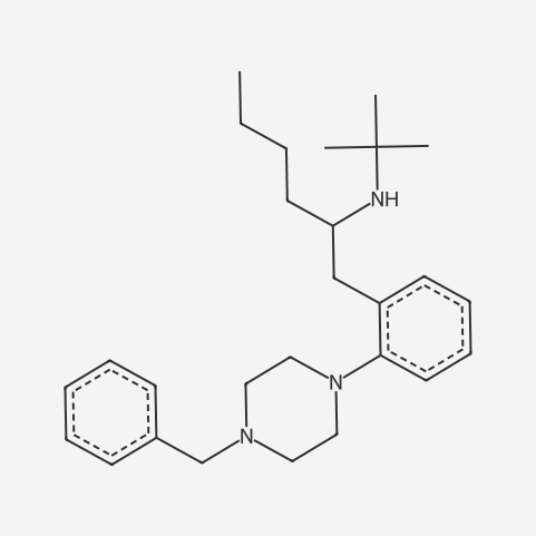 CCCCC(Cc1ccccc1N1CCN(Cc2ccccc2)CC1)NC(C)(C)C